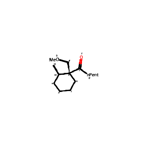 CCCCCC(=O)[C@]1(COC)CCCCC1C